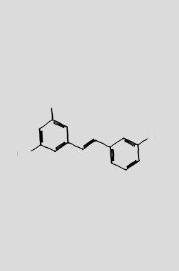 Oc1cc(/C=C/c2cccc(C(F)(F)F)c2)cc(C(F)(F)F)c1